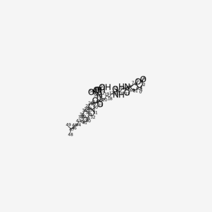 Cc1cc(=O)oc2cc(NC(=O)CCC(=O)NCCCC[C@@H](C(=O)O[C@H]3CC[C@@]4(C)C(=CCC5C4CC[C@@]4(C)C5CC[C@@H]4CCCCC(C)C)C3)N(CC(=O)O)CC(=O)O)ccc12